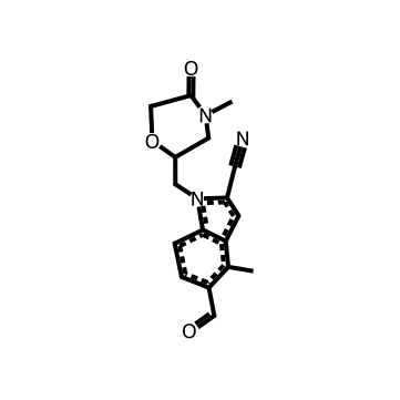 Cc1c(C=O)ccc2c1cc(C#N)n2CC1CN(C)C(=O)CO1